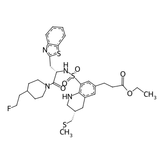 CCOC(=O)CCc1cc2c(c(S(=O)(=O)N[C@@H](Cc3nc4ccccc4s3)C(=O)N3CCC(CCF)CC3)c1)NC[C@@H](CSC)C2